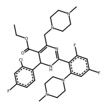 CCOC(=O)C1=C(CN2CCN(C)CC2)N=C(c2c(F)cc(F)cc2N2CCN(C)CC2)NC1c1ccc(F)cc1Cl